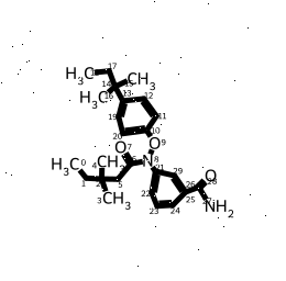 CCC(C)(C)CC(=O)N(Oc1ccc(C(C)(C)CC)cc1)c1cccc(C(N)=O)c1